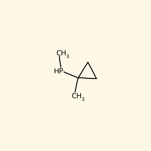 CPC1(C)CC1